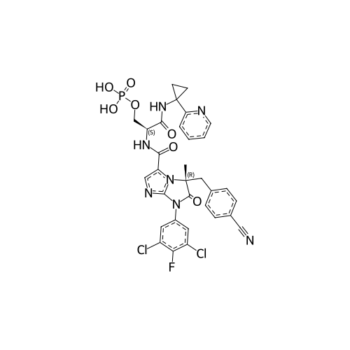 C[C@@]1(Cc2ccc(C#N)cc2)C(=O)N(c2cc(Cl)c(F)c(Cl)c2)c2ncc(C(=O)N[C@@H](COP(=O)(O)O)C(=O)NC3(c4ccccn4)CC3)n21